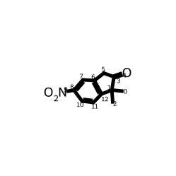 CC1(C)C(=O)Cc2cc([N+](=O)[O-])ccc21